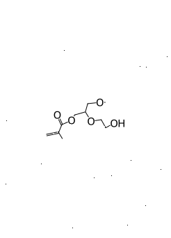 C=C(C)C(=O)OCC(C[O])OCCO